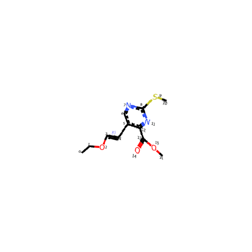 CCO/C=C/c1cnc(SC)nc1C(=O)OC